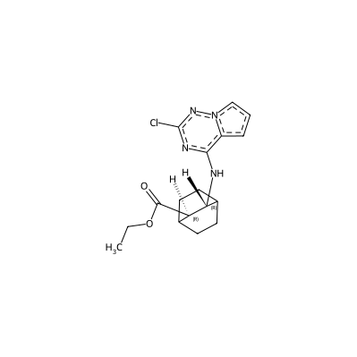 CCOC(=O)[C@@H]1C2CCC(CC2)[C@H]1Nc1nc(Cl)nn2cccc12